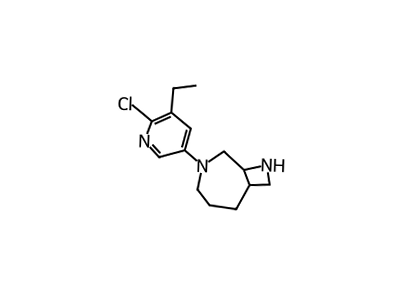 CCc1cc(N2CCCC3CNC3C2)cnc1Cl